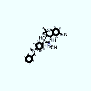 CN(Cc1ccccc1)c1ccc(N/C(=N/C#N)NC2c3cc(C#N)ccc3OC(C)(C)C2O)cc1